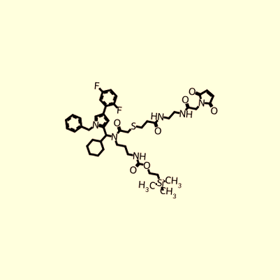 C[Si](C)(C)CCOC(=O)NCCCN(C(=O)CSCCC(=O)NCCNC(=O)CN1C(=O)C=CC1=O)C(c1cc(-c2cc(F)ccc2F)cn1Cc1ccccc1)C1CCCCC1